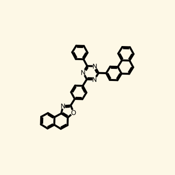 c1ccc(-c2nc(-c3ccc(-c4nc5c(ccc6ccccc65)o4)cc3)nc(-c3ccc4ccc5ccccc5c4c3)n2)cc1